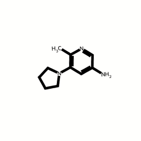 Cc1ncc(N)cc1N1CCCC1